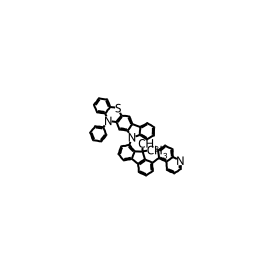 CC1(C)c2c(cccc2-c2cccc3ncccc23)-c2cccc(-n3c4ccccc4c4cc5c(cc43)N(c3ccccc3)c3ccccc3S5)c21